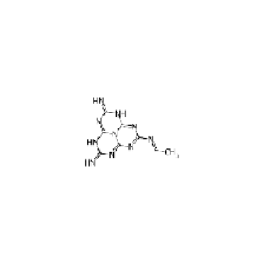 CC=NC1=NC2=NC(=N)NC3=NC(=N)NC(=N1)N23